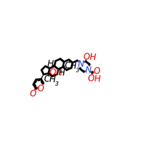 C[C@@]12CCC(CN3CCN(C(=O)O)C[C@@H]3O)CC1CC[C@@H]1[C@@H]2CC[C@]2(C)[C@@H](c3ccc(=O)oc3)CC[C@]12O